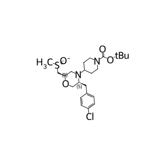 C[S+]([O-])C[C@H]1CN(C2CCN(C(=O)OC(C)(C)C)CC2)[C@@H](Cc2ccc(Cl)cc2)CO1